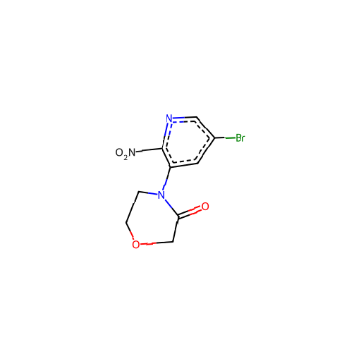 O=C1COCCN1c1cc(Br)cnc1[N+](=O)[O-]